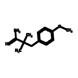 COc1ccc(CC(C)(C)C(=N)N)cc1